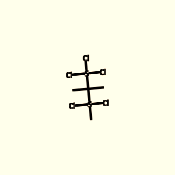 CC(C)(S(C)(Cl)Cl)S(Cl)(Cl)Cl